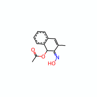 CC(=O)OC1C(=NO)C(C)=Cc2ccccc21